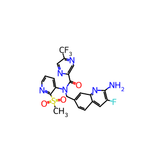 CS(=O)(=O)c1ncccc1N(Cc1ccc2cc(F)c(N)nc2c1)C(=O)c1cnc(C(F)(F)F)cn1